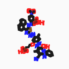 Cc1cc(N=Nc2c(C)c(C#N)c3nc4ccccc4n3c2O)c(OCCCS(=O)(=O)O)cc1N=Nc1nc(-c2cccc3ccccc23)c(N=Nc2ccc([N+](=O)[O-])cc2S(=O)(=O)O)s1